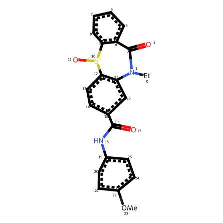 CCN1C(=O)c2ccccc2[S+]([O-])c2ccc(C(=O)Nc3ccc(OC)cc3)cc21